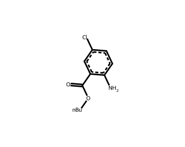 CCCCOC(=O)c1cc(Cl)ccc1N